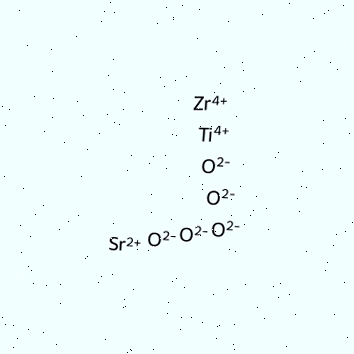 [O-2].[O-2].[O-2].[O-2].[O-2].[Sr+2].[Ti+4].[Zr+4]